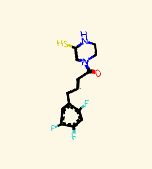 O=C(C[CH]Cc1cc(F)c(F)cc1F)N1CCNC(S)C1